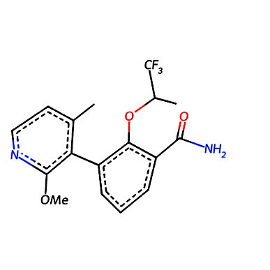 COc1nccc(C)c1-c1cccc(C(N)=O)c1OC(C)C(F)(F)F